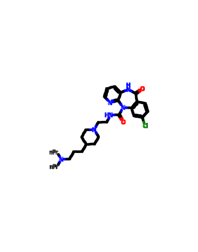 CCCN(CCC)CCCC1CCN(CCNC(=O)N2c3cc(Cl)ccc3C(=O)Nc3cccnc32)CC1